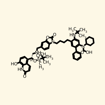 CC(C)(C)Nc1cc(N(C(=O)O)C2CCCCC2)c(-c2ccccc2)cc1CCCCn1c(=O)oc2cc(CNC[C@H](O[Si](C)(C)C(C)(C)C)c3ccc(O)c4[nH]c(=O)ccc34)ccc21